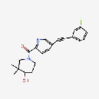 CC1(C)CN(C(=O)c2ccc(C#Cc3cccc(F)c3)cn2)CCC1O